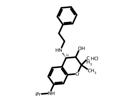 CC(C)Nc1ccc2c(c1)OC(C)(C)C(O)[C@H]2NCCc1ccccc1.Cl